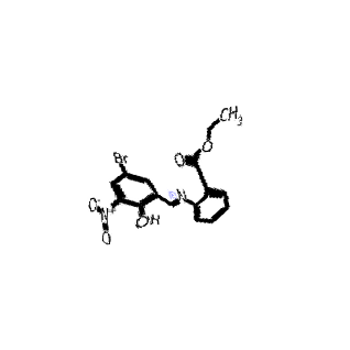 CCOC(=O)c1ccccc1/N=C/c1cc(Br)cc([N+](=O)[O-])c1O